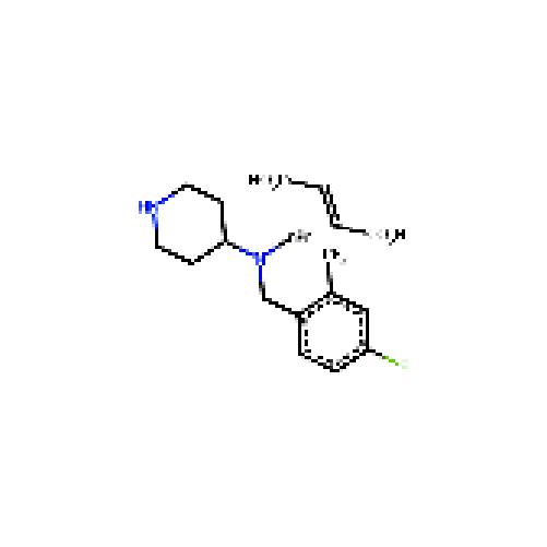 CCCN(Cc1ccc(F)cc1C(F)(F)F)C1CCNCC1.O=C(O)C=CC(=O)O